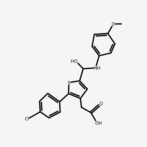 COc1ccc(NC(O)c2cc(CC(=O)O)c(-c3ccc(Cl)cc3)s2)cc1